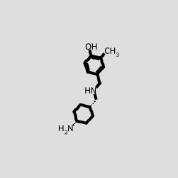 Cc1cc(CNC[C@H]2CC[C@@H](N)CC2)ccc1O